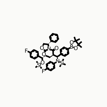 CC1(C)OB(c2ccc([C@H]([C@@H](CC[C@H](O[Si](C)(C)C)c3ccc(F)cc3)C(=O)N3C(=O)OC[C@@H]3c3ccccc3)N(c3ccc(F)cc3)[Si](C)(C)C)cc2)OC1(C)C